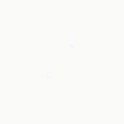 CC1=C(N)CCCC1N